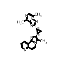 Cc1ncc(C)n2nc([C@@H]3C[C@H]3c3nc4c5cccnc5ccn4c3C)nc12